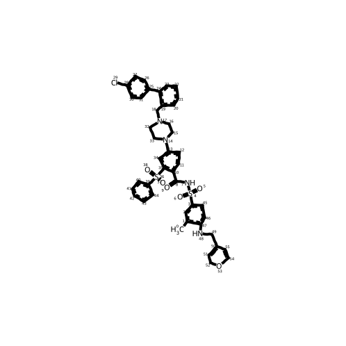 Cc1cc(S(=O)(=O)NC(=O)c2ccc(N3CCN(Cc4ccccc4-c4ccc(Cl)cc4)CC3)cc2S(=O)(=O)c2ccccc2)ccc1NCC1=CCOC=C1